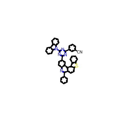 N#Cc1cccc(-c2nc(-c3ccc4nc(-c5ccccc5)c5ccc6sc7ccccc7c6c5c4c3)nc(-n3c4ccccc4c4ccccc43)n2)c1